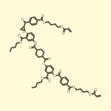 C=CC(=O)OCCCCOC(=O)c1ccc(C(=O)Oc2ccc(OC(=O)C3CCC(C(=O)Oc4ccc([C@@H]5CC5C(=O)c5ccc(C(=O)OCCCCOC(=O)C=C)cc5)c(C(=O)OCCCC)c4)CC3)cc2C(=O)OCCCC)cc1